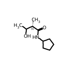 CC(O)[C@H](C)C(=O)NC1CCCC1